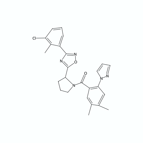 Cc1cc(C(=O)N2CCCC2c2nc(-c3cccc(Cl)c3C)no2)c(-n2cccn2)cc1C